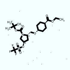 CCOC(=O)[C@H]1CC[C@H](OC[C@@H]2C[C@@H](OS(=O)(=O)C(F)(F)F)CN2C(=O)OC(C)(C)C)CC1